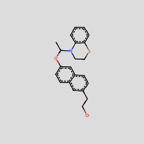 CC(Oc1ccc2cc(CC[O])ccc2c1)N1CCSc2ccccc21